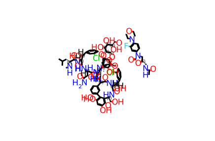 CC(=O)NC[C@H]1CN(c2ccc(N3CCOCC3)c(F)c2)C(=O)O1.CN[C@H](CC(C)C)C(=O)N[C@H]1C(=O)N[C@@H](CC(N)=O)C(=O)N[C@H]2C(=O)N[C@H]3C(=O)N[C@H](C(=O)N[C@@H](C(=O)O)c4cc(O)cc(O)c4-c4cc3ccc4O)[C@H](O)c3ccc(c(Cl)c3)Oc3cc2cc(c3O[C@@H]2O[C@H](CO)[C@@H](O)[C@H](O)[C@H]2O[C@H]2C[C@](C)(N)C(O)[C@H](C)O2)Oc2ccc(cc2Cl)[C@H]1O